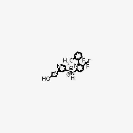 Cc1ccccc1-c1nc(NS(=O)(=O)c2ccnc(N3CC(O)C3)c2)ccc1C(F)(F)F